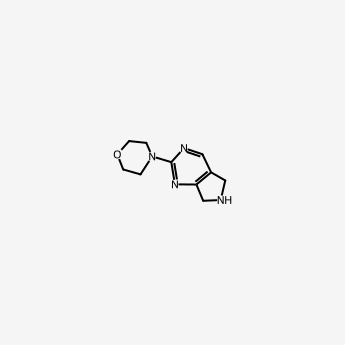 c1nc(N2CCOCC2)nc2c1CNC2